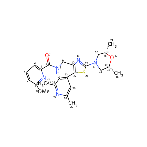 COc1cccc(C(=O)NCc2nc(N3C[C@@H](C)O[C@@H](C)C3)sc2-c2cc(C)nc(C)c2)n1